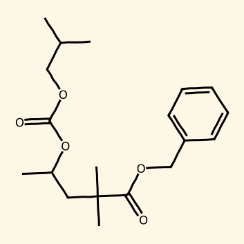 CC(C)COC(=O)OC(C)CC(C)(C)C(=O)OCc1ccccc1